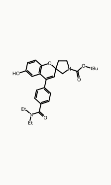 CCN(CC)C(=O)c1ccc(C2=CC3(CCN(C(=O)OC(C)(C)C)C3)Oc3ccc(O)cc32)cc1